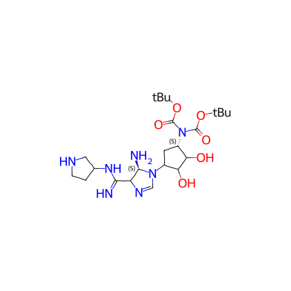 CC(C)(C)OC(=O)N(C(=O)OC(C)(C)C)[C@H]1CC(N2C=NC(C(=N)NC3CCNC3)[C@H]2N)C(O)C1O